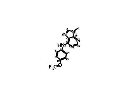 Cn1cnc2c(Nc3ccc(OC(F)(F)F)cc3)ncnc21